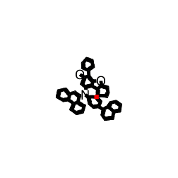 c1ccc2c(-c3ccc(N(c4cc5ccccc5c5ccccc45)c4cc5oc6ccccc6c5c5oc6ccccc6c45)cc3)cccc2c1